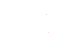 CC1(C)CC(=O)c2c(S(C)(=O)=O)sc(CO)c2C1